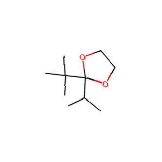 CC(C)C1(C(C)(C)C)OCCO1